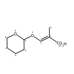 CC(=COC1CCCCO1)C(=O)O